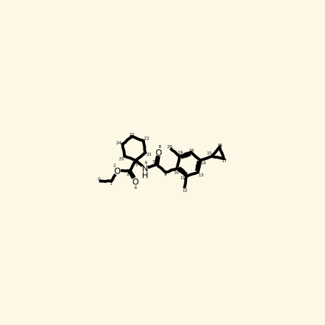 CCOC(=O)C1(NC(=O)Cc2c(C)cc(C3CC3)cc2C)CCCCC1